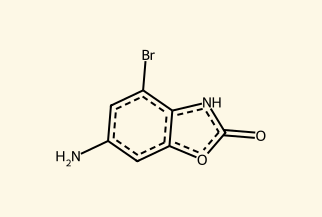 Nc1cc(Br)c2[nH]c(=O)oc2c1